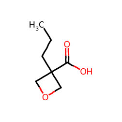 CCCC1(C(=O)O)COC1